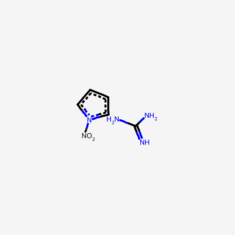 N=C(N)N.O=[N+]([O-])n1cccc1